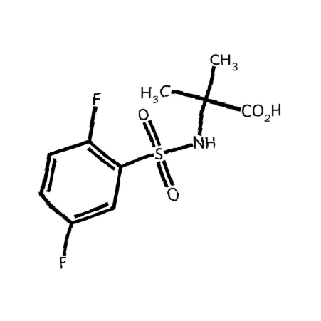 CC(C)(NS(=O)(=O)c1cc(F)ccc1F)C(=O)O